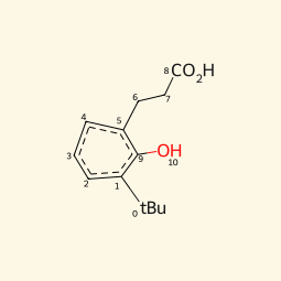 CC(C)(C)c1cccc(CCC(=O)O)c1O